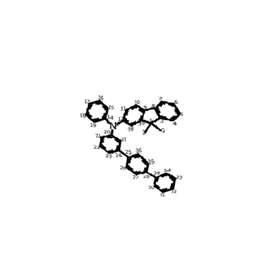 CC1(C)c2ccccc2-c2ccc(N(c3ccccc3)c3cccc(-c4ccc(-c5ccccc5)cc4)c3)cc21